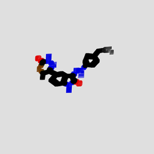 CC1SC(=O)NN=C1c1ccc2c(c1)C(=NNc1ccc(CC(F)(F)F)cc1)C(=O)N2